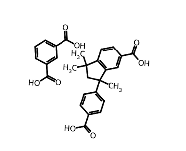 CC1(C)CC(C)(c2ccc(C(=O)O)cc2)c2cc(C(=O)O)ccc21.O=C(O)c1cccc(C(=O)O)c1